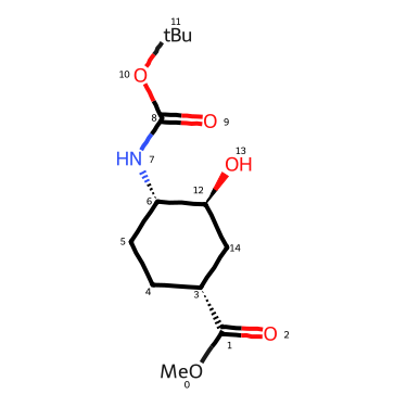 COC(=O)[C@@H]1CC[C@H](NC(=O)OC(C)(C)C)[C@@H](O)C1